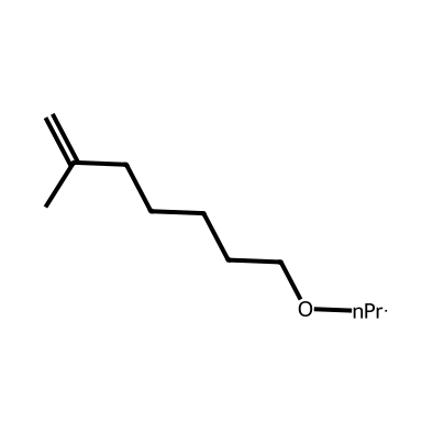 C=C(C)CCCCCO[CH]CC